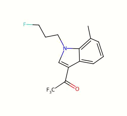 Cc1cccc2c(C(=O)C(F)(F)F)cn(CCCF)c12